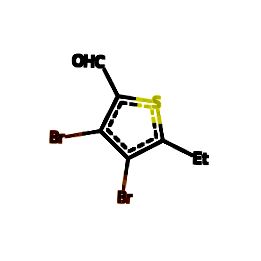 CCc1sc(C=O)c(Br)c1Br